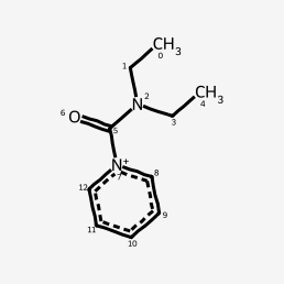 CCN(CC)C(=O)[n+]1ccccc1